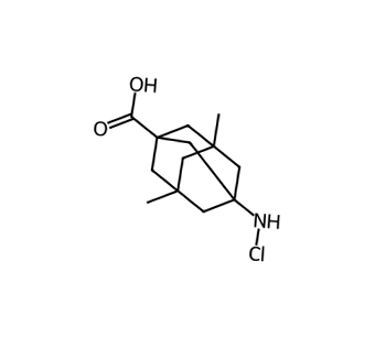 CC12CC3(C)CC(NCl)(C1)CC(C(=O)O)(C2)C3